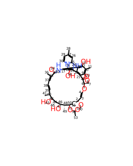 CO[C@H]1/C=C/O[C@@]2(C)Oc3c(C)c(O)c4c(O)c(c5c(c4c3C2=O)NC2C=C(C)C=CN52)NC(=O)/C(C)=C\C=C\[C@H](C)[C@H](O)[C@@H](C)[C@@H](O)[C@@H](C)[C@H](OC(C)=O)C1